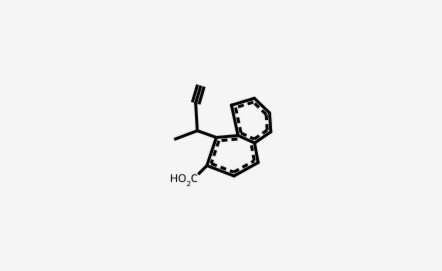 C#CC(C)c1c(C(=O)O)ccc2ccccc12